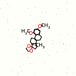 CC[C@]12CCC3=C(CCc4cc(OC)cc(OC)c43)C1=CCC21OCCO1